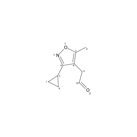 Cc1onc(C2CC2)c1CC=O